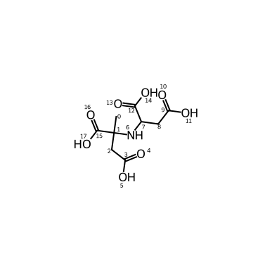 CC(CC(=O)O)(NC(CC(=O)O)C(=O)O)C(=O)O